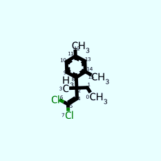 CCC(C)(C=C(Cl)Cl)c1ccc(C)cc1C